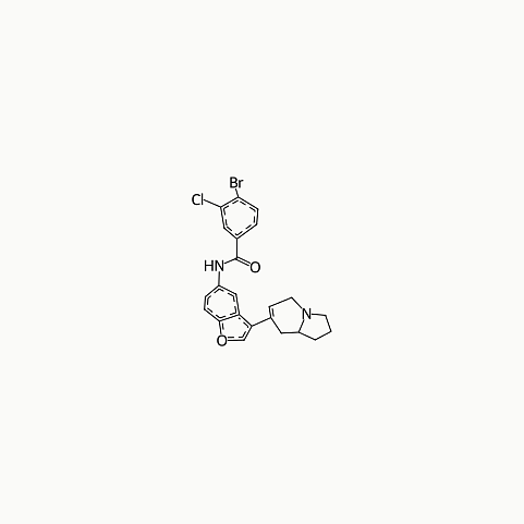 O=C(Nc1ccc2occ(C3=CCN4CCCC4C3)c2c1)c1ccc(Br)c(Cl)c1